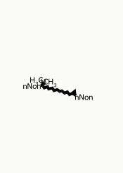 CCCCCCCCCC1CC1CCCCCCCCCCCC(CCCCCCCCC)N(C)C